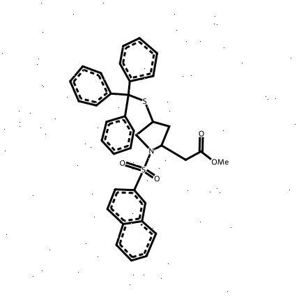 COC(=O)CC1CC(SC(c2ccccc2)(c2ccccc2)c2ccccc2)CN1S(=O)(=O)c1ccc2ccccc2c1